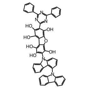 Oc1c(-c2nc(-c3ccccc3)nc(-c3ccccc3)n2)c(O)c2oc3c(O)c(-n4c5ccccc5c5c(-n6c7ccccc7c7ccccc76)cccc54)c(O)c(O)c3c2c1O